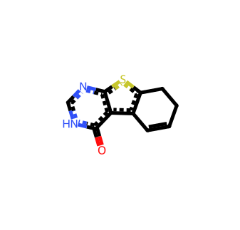 O=c1[nH]cnc2sc3c(c12)C=CCC3